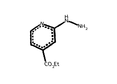 CCOC(=O)c1ccnc(NN)c1